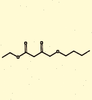 CCCCOCC(=O)CC(=O)OCC